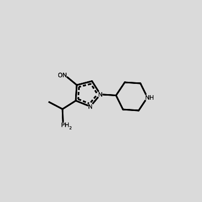 CC(P)c1nn(C2CCNCC2)cc1N=O